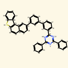 c1ccc(-c2nc(-c3ccccc3)nc(-c3cccc(-c4cccc(-c5ccc6ccc7sc8ccccc8c7c6c5)c4)c3)n2)cc1